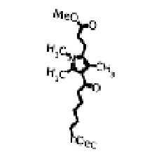 CCCCCCCCCCCCCCCC(=O)c1c(C)c(CCC(=O)OC)n(C)c1C